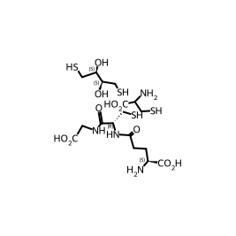 NC(CS)C(=O)O.N[C@@H](CCC(=O)N[C@@H](CS)C(=O)NCC(=O)O)C(=O)O.O[C@H](CS)[C@H](O)CS